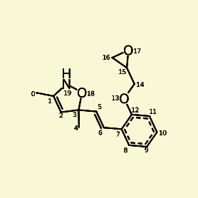 CC1=CC(C)(C=Cc2ccccc2OCC2CO2)ON1